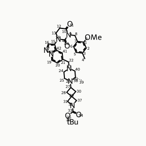 COc1cc(C)ccc1CN1C(=O)CCN(c2cnn3ccc(CN4CCN(C5CC6(C5)CN(C(=O)OC(C)(C)C)C6)[C@@H](C)C4)cc23)C1=O